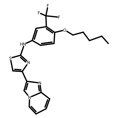 CCCCCOc1ccc(Nc2nc(-c3cn4ccccc4n3)cs2)cc1C(F)(F)F